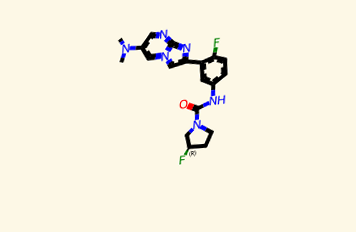 CN(C)c1cnc2nc(-c3cc(NC(=O)N4CC[C@@H](F)C4)ccc3F)cn2c1